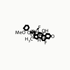 CO[C@H]1CCCC[C@@H]1OC(=O)O[C@@]1(C(=O)OCF)[C@H](C)C[C@H]2[C@@H]3C[C@H](F)C4=CC(=O)C=C[C@]4(C)C3(F)[C@@H](O)C[C@@]21C